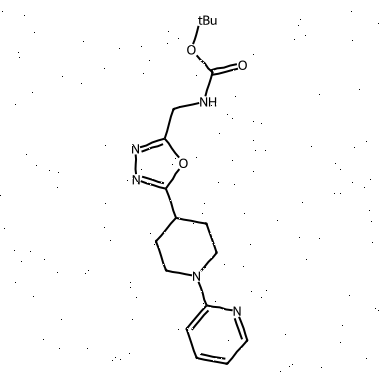 CC(C)(C)OC(=O)NCc1nnc(C2CCN(c3ccccn3)CC2)o1